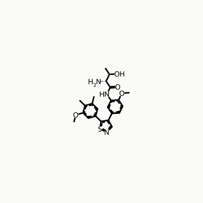 COc1ccc(-c2cnsc2-c2cc(C)c(C)c(OC)c2)cc1NC(=O)[C@H](N)C(C)O